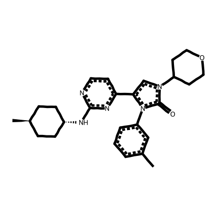 Cc1cccc(-n2c(-c3ccnc(N[C@H]4CC[C@H](C)CC4)n3)cn(C3CCOCC3)c2=O)c1